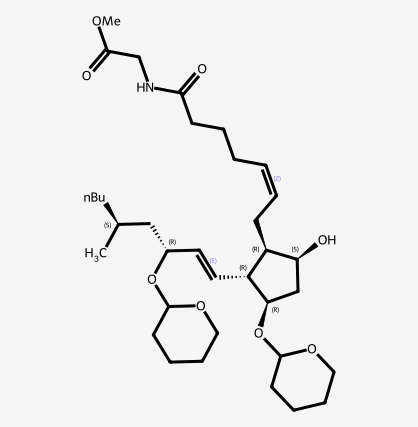 CCCC[C@H](C)C[C@H](/C=C/[C@@H]1[C@@H](C/C=C\CCCC(=O)NCC(=O)OC)[C@@H](O)C[C@H]1OC1CCCCO1)OC1CCCCO1